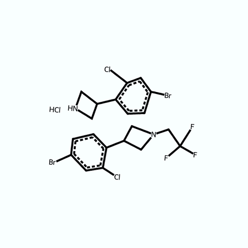 Cl.Clc1cc(Br)ccc1C1CNC1.FC(F)(F)CN1CC(c2ccc(Br)cc2Cl)C1